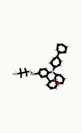 CC(C)(O)C(C)(C)OBc1ccc(N(c2ccccc2)c2ccc(-c3ccccc3)cc2)c(-c2ccccc2)c1